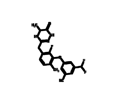 Cc1ccc(CC2=NNC(=O)C(C)N2)c(F)c1Oc1cc(C#N)cc(C(F)F)c1